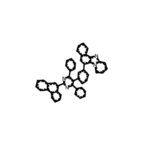 c1ccc(-c2nc(-c3cc4ccccc4c4ccccc34)nc(-c3ccccc3)c2-c2cccc(-c3cc4ccccc4c4nc5ccccn5c34)c2)cc1